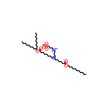 CCCCCCCCCCCOC(=O)CCCCCN(CCCCCCCC(=O)OC(CCCCCCCC)CCCCCCCC)CCC[N+](C)(C)CCCS(=O)(=O)OC